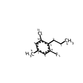 CCCc1c(F)cc(C)cc1Cl